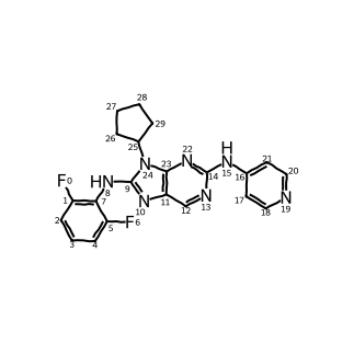 Fc1cccc(F)c1Nc1nc2cnc(Nc3ccncc3)nc2n1C1CCCC1